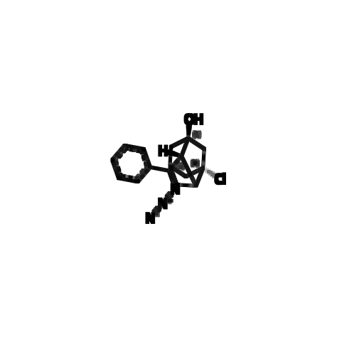 [N-]=[N+]=NC(c1ccccc1)[C@H]1C2CC3C[C@@]2(Cl)C[C@@]1(O)C3